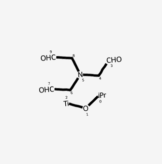 CC(C)[O][Ti].O=CCN(CC=O)CC=O